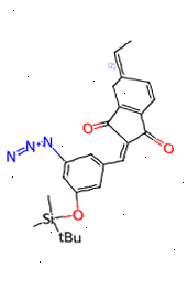 C/C=C1\C=CC2=C(C1)C(=O)C(=Cc1cc(N=[N+]=[N-])cc(O[Si](C)(C)C(C)(C)C)c1)C2=O